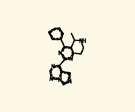 CC1NCCc2nc(-c3ncnn4cncc34)nc(-c3ccccc3)c21